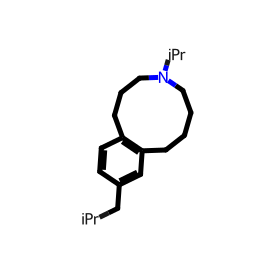 CC(C)Cc1ccc2c(c1)CCCCN(C(C)C)CCC2